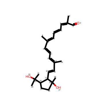 CC(C=O)=CC=CC=C(C)C=CC=C(C)C=CC1C(C(C)(C)O)CCC1(C)O